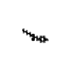 CCCCCCOC(=O)CCN1CCN(C)CC1